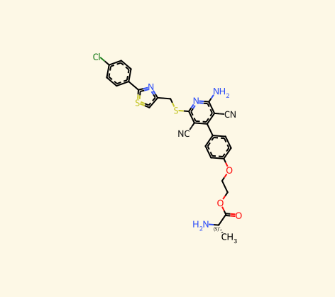 C[C@H](N)C(=O)OCCOc1ccc(-c2c(C#N)c(N)nc(SCc3csc(-c4ccc(Cl)cc4)n3)c2C#N)cc1